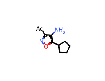 CC(=O)c1noc(C2CCCC2)c1N